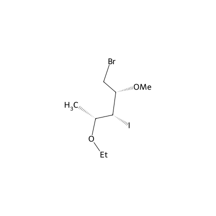 CCO[C@H](C)[C@@H](I)[C@H](CBr)OC